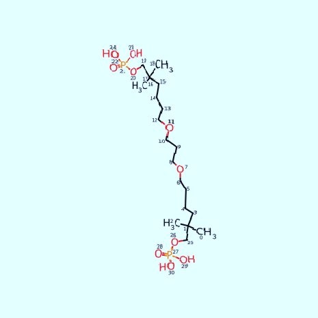 CC(C)(CCCCOCCCOCCCCC(C)(C)COP(=O)(O)O)COP(=O)(O)O